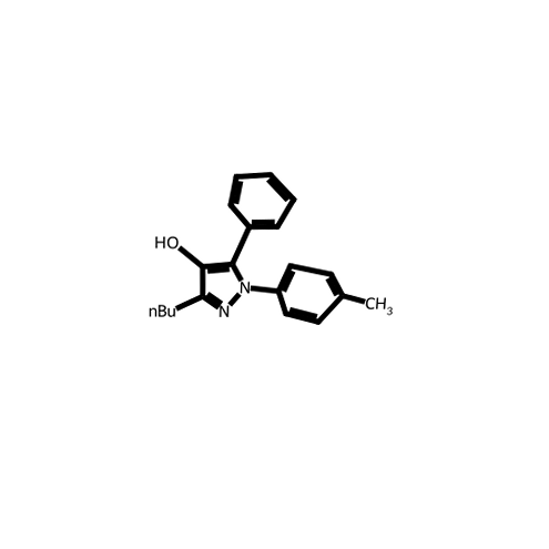 CCCCc1nn(-c2ccc(C)cc2)c(-c2ccccc2)c1O